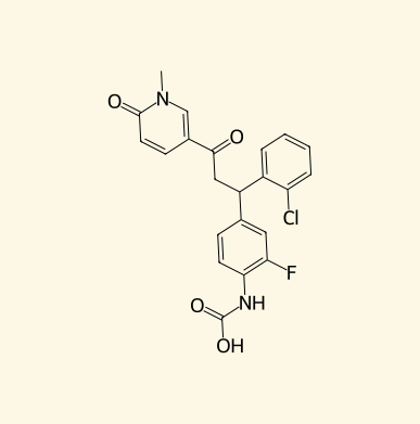 Cn1cc(C(=O)CC(c2ccc(NC(=O)O)c(F)c2)c2ccccc2Cl)ccc1=O